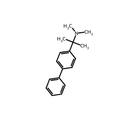 CN(C)C(C)(C)c1ccc(-c2ccccc2)cc1